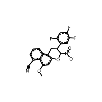 COc1cc2c(c3cccc(C#N)c13)CC(c1cc(F)c(F)cc1F)C([N+](=O)[O-])O2